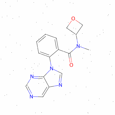 CN(C(=O)c1ccccc1-n1cnc2cncnc21)C1COC1